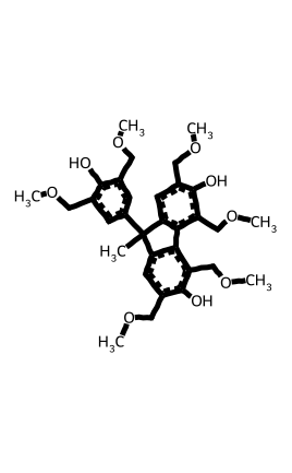 COCc1cc(C2(C)c3cc(COC)c(O)c(COC)c3-c3c2cc(COC)c(O)c3COC)cc(COC)c1O